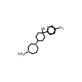 CCOC(=O)N1CCCN(C2CCC(C#N)(c3ccc(C)cn3)CC2)CC1